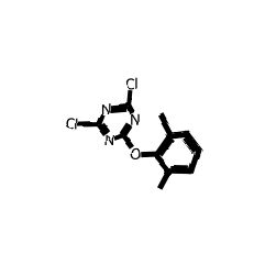 Cc1cccc(C)c1Oc1nc(Cl)nc(Cl)n1